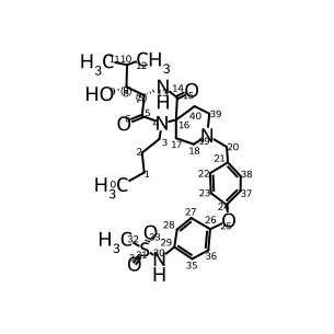 CCCCN1C(=O)[C@H]([C@H](O)C(C)C)NC(=O)C12CCN(Cc1ccc(Oc3ccc(NS(C)(=O)=O)cc3)cc1)CC2